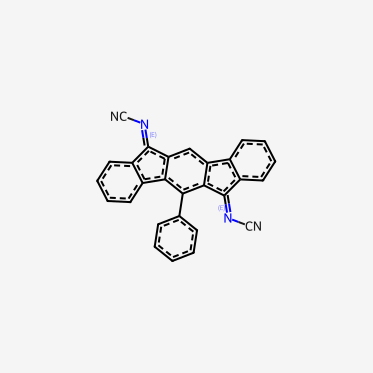 N#C/N=c1\c2ccccc2c2c(-c3ccccc3)c3/c(=N/C#N)c4ccccc4c3cc12